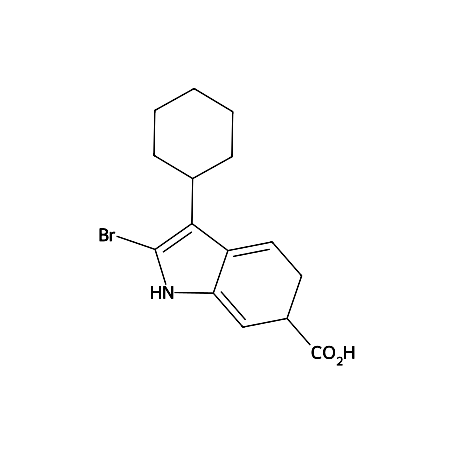 O=C(O)C1C=c2[nH]c(Br)c(C3CCCCC3)c2=CC1